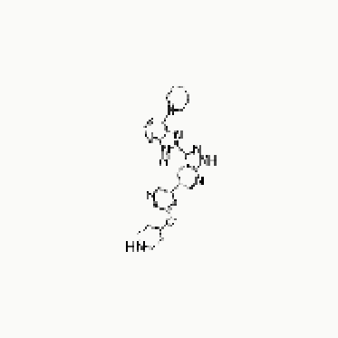 c1cc(N2CCCCC2)c2nc(-c3n[nH]c4ncc(-c5cncc(OC6CCNCC6)c5)cc34)[nH]c2n1